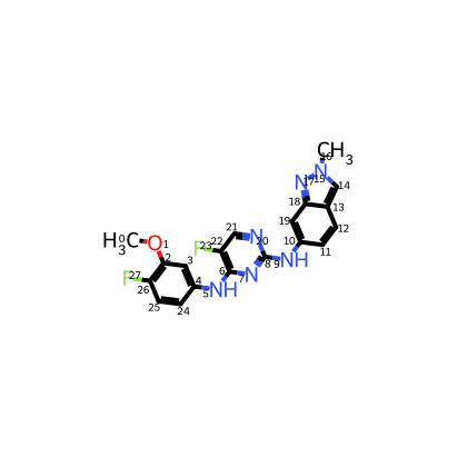 COc1cc(Nc2nc(Nc3ccc4cn(C)nc4c3)ncc2F)ccc1F